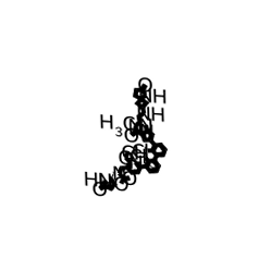 COc1nc(-c2cccc(-c3cccc(-c4cc5c(=O)n(C)c(CNC6CC7(CCC(=O)N7)C6)nn5c4)c3Cl)c2Cl)ccc1CN(C[C@@H]1CCC(=O)N1)C(=O)O